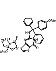 COc1ccc(C(Nc2nc3c(ncn3[C@@H]3O[C@@](CO)(OC)[C@@H](O)[C@H]3F)c(=O)[nH]2)(c2ccccc2)c2ccccc2)cc1